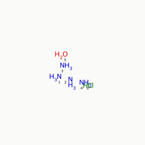 Cl.N.N.N.N.O